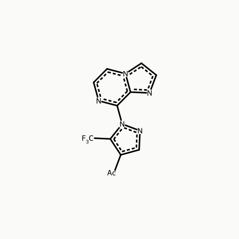 CC(=O)c1cnn(-c2nccn3ccnc23)c1C(F)(F)F